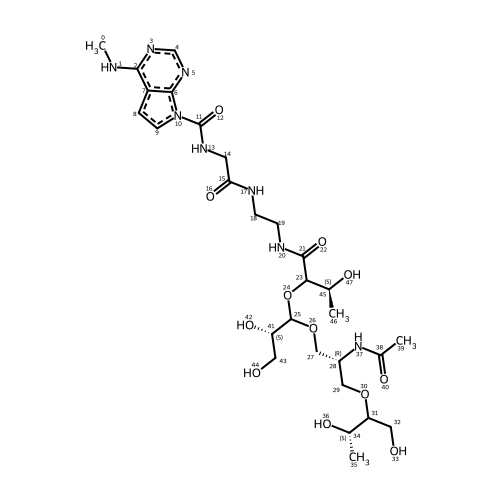 CNc1ncnc2c1ccn2C(=O)NCC(=O)NCCNC(=O)C(OC(OC[C@@H](COC(CO)[C@H](C)O)NC(C)=O)[C@@H](O)CO)[C@H](C)O